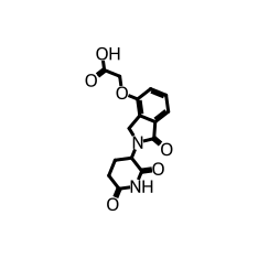 O=C(O)COc1cccc2c1CN(C1CCC(=O)NC1=O)C2=O